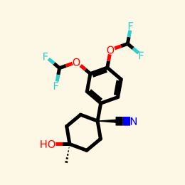 C[C@]1(O)CC[C@](C#N)(c2ccc(OC(F)F)c(OC(F)F)c2)CC1